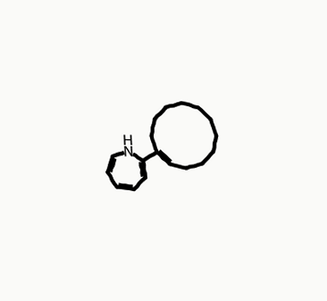 C1=CC=C(C2=CCCCCCCCCCC2)NC=C1